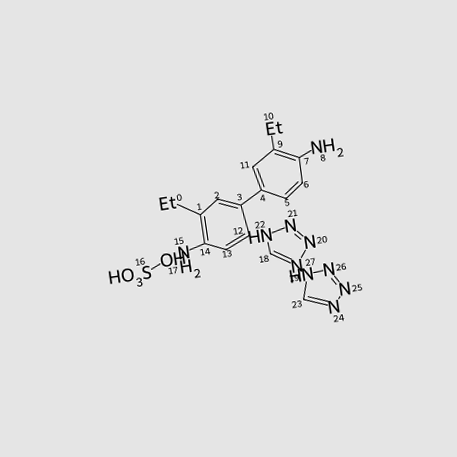 CCc1cc(-c2ccc(N)c(CC)c2)ccc1N.O=S(=O)(O)O.c1nnn[nH]1.c1nnn[nH]1